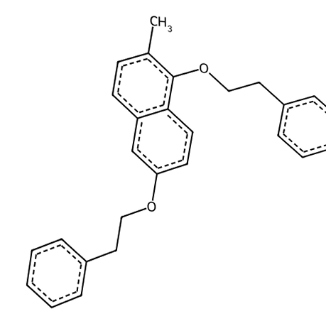 Cc1ccc2cc(OCCc3ccccc3)ccc2c1OCCc1ccccc1